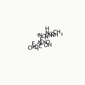 Cc1cc(Nc2cc(N3CCC3)c(F)c(C[C@@]3(C(=O)O)CCN(Cc4cccc(Cl)c4F)[C@H](C)C3)n2)n[nH]1